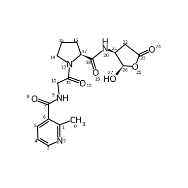 Cc1ncccc1C(=O)NCC(=O)N1CCC[C@H]1C(=O)N[C@H]1CC(=O)O[C@H]1O